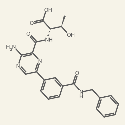 C[C@@H](O)[C@H](NC(=O)c1nc(-c2cccc(C(=O)NCc3ccccc3)c2)cnc1N)C(=O)O